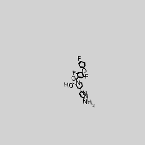 Nc1ccc([C@H]2CCN(C(=O)c3cc(F)c(Oc4ccc(F)cc4)cc3F)[C@H](CO)C2)nn1